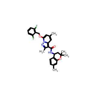 Cc1ccc2c(c1)OC(C)(C)CC2NC(=O)c1c(C)nn2c(OCc3c(F)cccc3F)cc(C)cc12